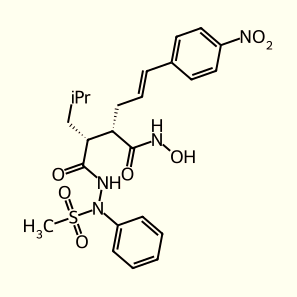 CC(C)C[C@@H](C(=O)NN(c1ccccc1)S(C)(=O)=O)[C@H](CC=Cc1ccc([N+](=O)[O-])cc1)C(=O)NO